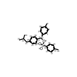 Cc1ccc([I+](OS(=O)(=O)c2ccc(C)cc2)c2ccc(CC(C)C)cc2)cc1